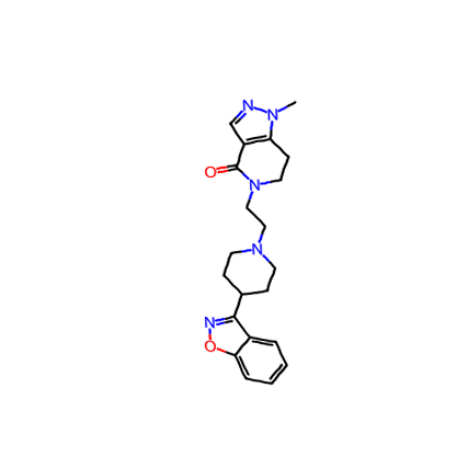 Cn1ncc2c1CCN(CCN1CCC(c3noc4ccccc34)CC1)C2=O